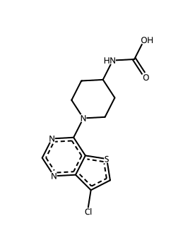 O=C(O)NC1CCN(c2ncnc3c(Cl)csc23)CC1